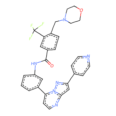 O=C(Nc1cccc(-c2ccnc3cc(-c4ccncc4)nn23)c1)c1ccc(CN2CCOCC2)c(C(F)(F)F)c1